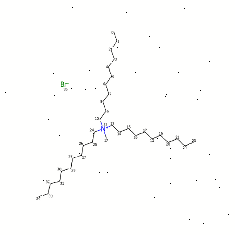 CCCCCCCCCCC[N+](C)(CCCCCCCCCCC)CCCCCCCCCCC.[Br-]